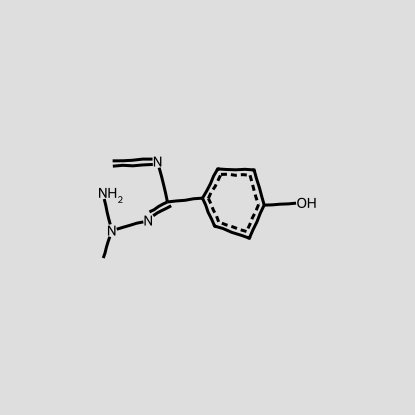 C=N/C(=N\N(C)N)c1ccc(O)cc1